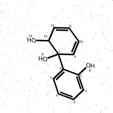 Oc1ccccc1C1(O)C=CC=CC1O